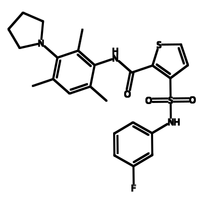 Cc1cc(C)c(N2CCCC2)c(C)c1NC(=O)c1sccc1S(=O)(=O)Nc1cccc(F)c1